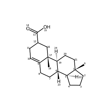 C[C@@]12CCC[C@H]1[C@@H]1CCC3=CCC(C(=O)O)C[C@]3(C)[C@H]1CC2